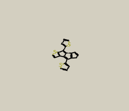 C1=CC2=C(C1)C(c1cccs1)=C1C2=C(c2cccs2)c2sccc21